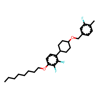 CCCCCCCCOc1ccc(C2CCC(OCc3ccc(C)c(F)c3)CC2)c(F)c1F